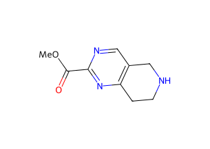 COC(=O)c1ncc2c(n1)CCNC2